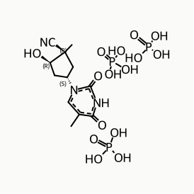 Cc1cn([C@@H]2C[C@@H](O)[C@@](C)(C#N)C2)c(=O)[nH]c1=O.O=P(O)(O)O.O=P(O)(O)O.O=P(O)(O)O